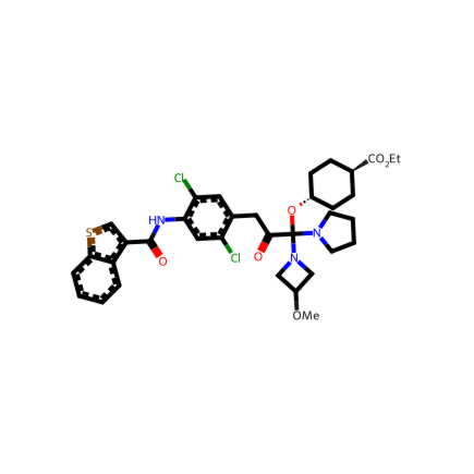 CCOC(=O)[C@H]1CC[C@H](OC(C(=O)Cc2cc(Cl)c(NC(=O)c3csc4ccccc34)cc2Cl)(N2CCCC2)N2CC(OC)C2)CC1